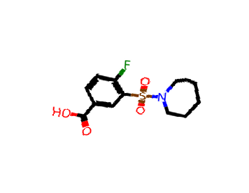 O=C(O)c1ccc(F)c(S(=O)(=O)N2CCCCC2)c1